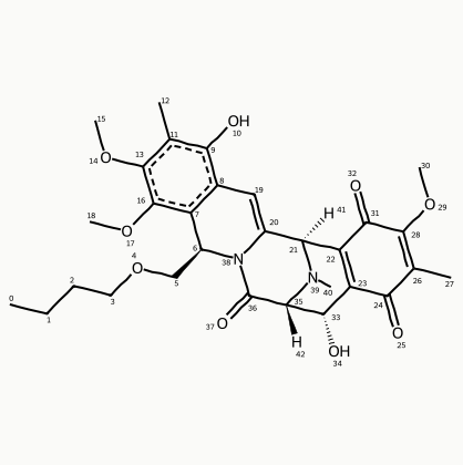 CCCCOC[C@H]1c2c(c(O)c(C)c(OC)c2OC)C=C2[C@H]3C4=C(C(=O)C(C)=C(OC)C4=O)[C@H](O)[C@H](C(=O)N21)N3C